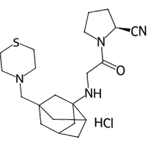 Cl.N#C[C@@H]1CCCN1C(=O)CNC12CC3CC1CC(CN1CCSCC1)(C3)C2